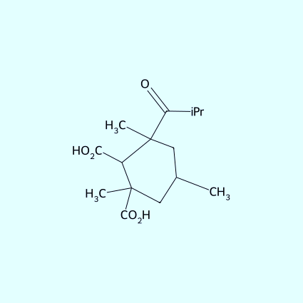 CC1CC(C)(C(=O)O)C(C(=O)O)C(C)(C(=O)C(C)C)C1